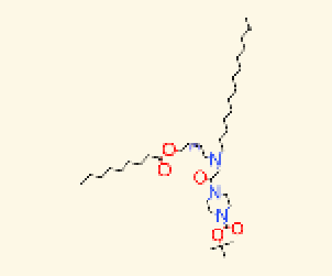 CCCCCCCCCCCCCCN(C/C=C\COC(=O)CCCCCCCC)CC(=O)N1CCN(C(=O)OC(C)(C)C)CC1